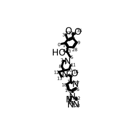 Cc1c(C(O)CN2CCC3(CC2)CCN3C(=O)c2ccc(-n3cnnn3)cn2)ccc2c1COC2=O